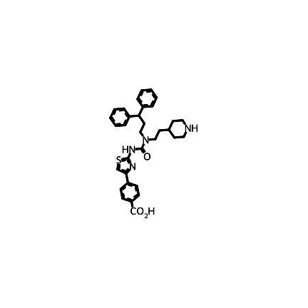 O=C(O)c1ccc(-c2csc(NC(=O)N(CCC3CCNCC3)CCC(c3ccccc3)c3ccccc3)n2)cc1